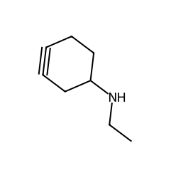 CCNC1CC#CCC1